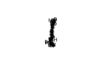 CCc1cc(Nc2ncc(Br)c(Nc3ccc4nccnc4c3P(C)(C)=O)n2)c(OC)cc1N1CCC(N2CCN(CCC3CN(c4ccc5c(c4)C(=O)N(C4CCC(=O)NC4=O)C5=O)C3)CC2)CC1